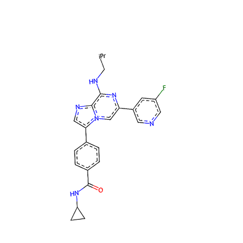 CC(C)CNc1nc(-c2cncc(F)c2)cn2c(-c3ccc(C(=O)NC4CC4)cc3)cnc12